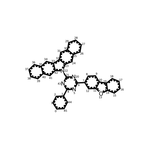 c1ccc(-c2nc(-c3ccc4c(c3)oc3ccccc34)nc(-n3c4cc5ccccc5cc4c4cc5ccccc5cc43)n2)cc1